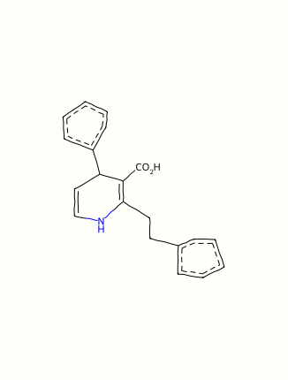 O=C(O)C1=C(CCc2ccccc2)NC=CC1c1ccccc1